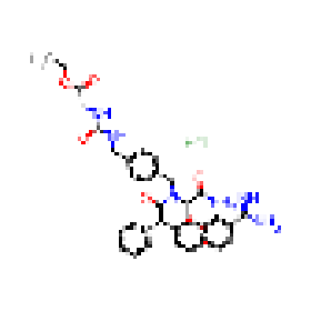 CCOC(=O)CNC(=O)NCc1ccc(CN(C(=O)C(c2ccccc2)c2ccccc2)[C@H](Cc2cccc(C(=N)N)c2)C(N)=O)cc1.Cl